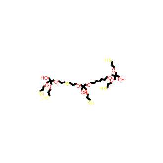 OCC(COCCCS)(COCCCS)COCCCCCCCOCC(CO)(COCCCS)COCCCSCCCOCC(CO)(COCCCS)COCCCS